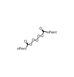 CCCCCC(=O)OOOOOC(=O)CCCCC